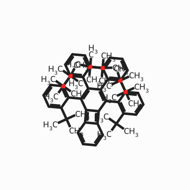 CC(C)(C)c1cccc(C(C)(C)C)c1-c1c(-c2c(C(C)(C)C)cccc2C(C)(C)C)c(-c2c(C(C)(C)C)cccc2C(C)(C)C)c2c(c1-c1c(C(C)(C)C)cccc1C(C)(C)C)=c1ccccc1=2